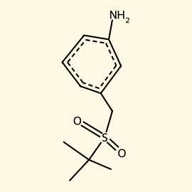 CC(C)(C)S(=O)(=O)Cc1cccc(N)c1